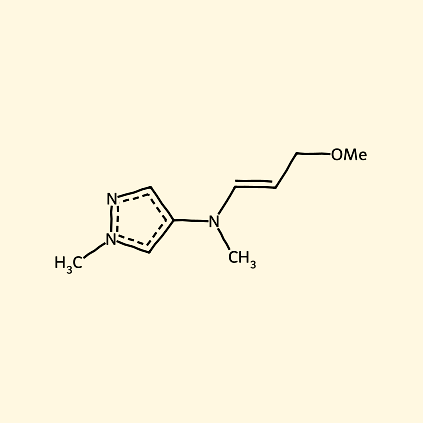 COC/C=C/N(C)c1cnn(C)c1